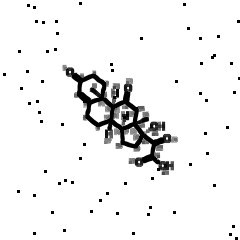 C[C@]12CCC(=O)C=C1CC[C@@H]1[C@@H]2C(=O)C[C@@]2(C)[C@H]1CC[C@]2(O)C(=O)C(=O)O